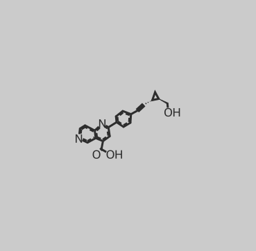 O=C(O)c1cc(-c2ccc(C#C[C@@H]3C[C@H]3CO)cc2)nc2ccncc12